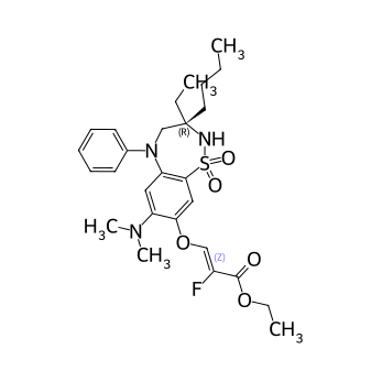 CCCC[C@]1(CC)CN(c2ccccc2)c2cc(N(C)C)c(O/C=C(\F)C(=O)OCC)cc2S(=O)(=O)N1